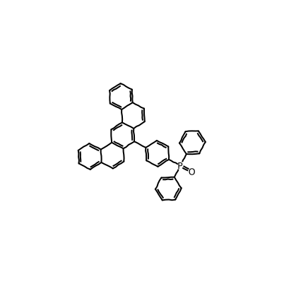 O=P(c1ccccc1)(c1ccccc1)c1ccc(-c2c3ccc4ccccc4c3cc3c2ccc2ccccc23)cc1